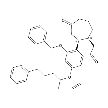 C=C.CC(CCCc1ccccc1)Oc1ccc([C@H]2CC(=O)CCC[C@H]2CC=O)c(OCc2ccccc2)c1